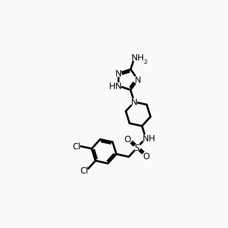 Nc1n[nH]c(N2CCC(NS(=O)(=O)Cc3ccc(Cl)c(Cl)c3)CC2)n1